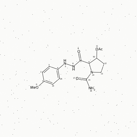 COc1ccc(NNC(=O)C2C(OC(C)=O)CCN2C(N)=O)cc1